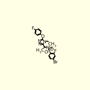 CCn1c(Oc2ccc(F)cc2)nnc1[C@@H](C)NS(=O)(=O)c1ccc(Br)cc1F